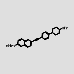 CCCCCCc1ccc2cc(C#Cc3ccc(C4CCC(CCC)CC4)cc3)ccc2c1